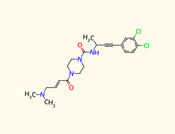 CC(C#Cc1ccc(Cl)c(Cl)c1)NC(=O)N1CCN(C(=O)C=CCN(C)C)CC1